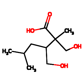 CC(C)CC(CO)C(C)(CO)C(=O)O